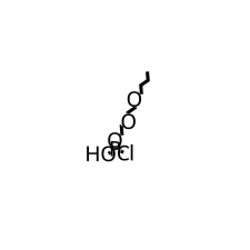 CCCCOCCOCCOP(O)Cl